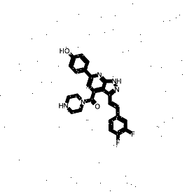 O=C(c1cc(-c2ccc(O)cc2)nc2[nH]nc(C=Cc3ccc(F)c(F)c3)c12)N1CCNCC1